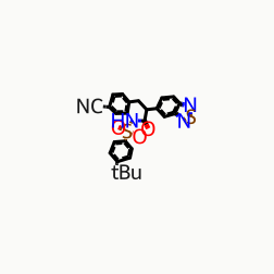 CC(C)(C)c1ccc(S(=O)(=O)NC(=O)C(Cc2ccc(C#N)cc2)c2ccc3nsnc3c2)cc1